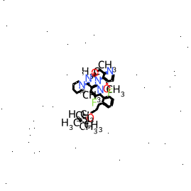 COc1ccnc(C(C)C)c1-n1c(=O)nc(N2CCCC[C@@H]2C)c2cc(F)c(-c3c(F)cccc3CCCO[Si](C)(C)C(C)(C)C)nc21